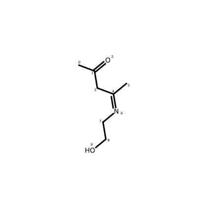 CC(=O)C/C(C)=N\CCO